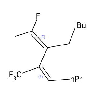 CCC/C=C(\C(CC(C)CC)=C(/C)F)C(F)(F)F